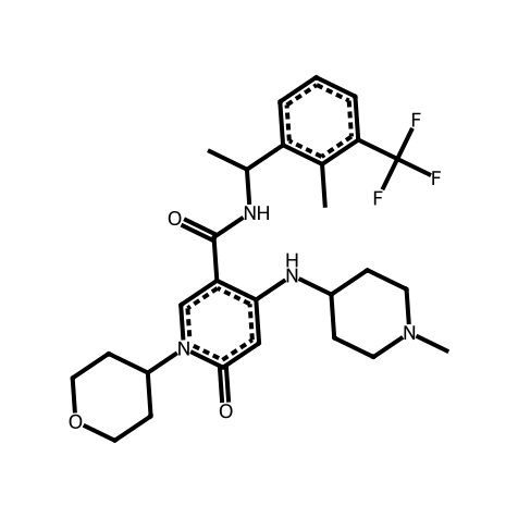 Cc1c(C(C)NC(=O)c2cn(C3CCOCC3)c(=O)cc2NC2CCN(C)CC2)cccc1C(F)(F)F